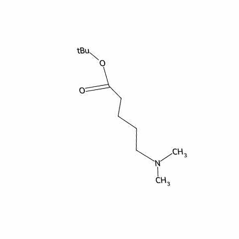 CN(C)CCCCC(=O)OC(C)(C)C